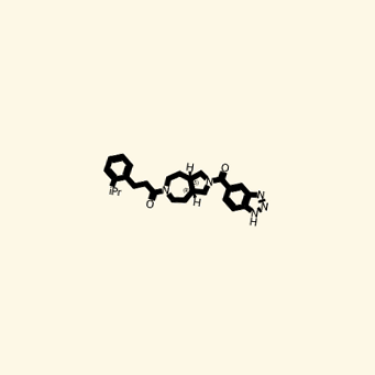 CC(C)c1ccccc1CCC(=O)N1CC[C@@H]2CN(C(=O)c3ccc4[nH]nnc4c3)C[C@@H]2CC1